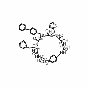 O=C(O)[C@@H]1Cc2ccc(cc2)NC(=O)[C@H](O)[C@@H](O)C(=O)N[C@H](Cc2cccs2)C(=O)N[C@@H](Cc2ccc(-c3ccccc3)cc2)C(=O)N[C@H](CCc2ccccc2)C(=O)N1